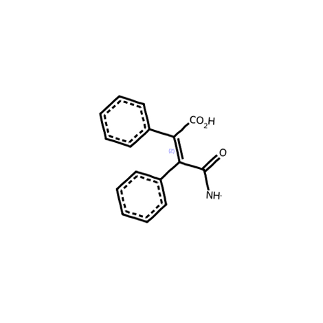 [NH]C(=O)/C(=C(\C(=O)O)c1ccccc1)c1ccccc1